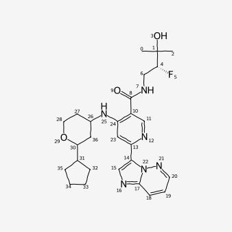 CC(C)(O)[C@H](F)CNC(=O)c1cnc(-c2cnc3cccnn23)cc1NC1CCOC(C2CCCC2)C1